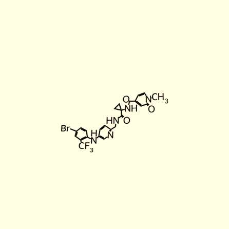 Cn1ccc(C(=O)NC2(C(=O)NCc3ccc(Nc4ccc(Br)cc4C(F)(F)F)cn3)CC2)cc1=O